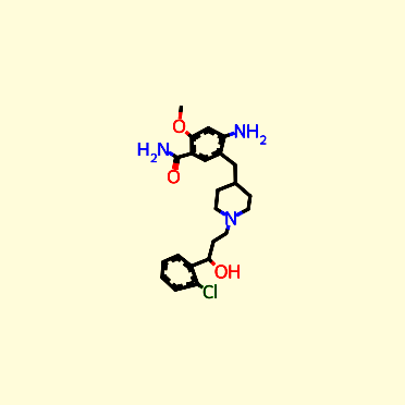 COc1cc(N)c(CC2CCN(CCC(O)c3ccccc3Cl)CC2)cc1C(N)=O